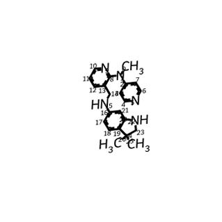 CN(c1ccncc1)c1ncccc1CNc1ccc2c(c1)NCC2(C)C